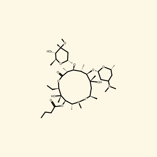 CCCC(=O)O[C@@H]1[C@@H](C)N(C)C[C@H](C)C[C@@](C)(O)[C@H](O[C@H]2CC(N(C)C)C[C@@H](C)O2)[C@@H](C)[C@H](O[C@H]2C[C@@](C)(OC)[C@@H](O)[C@H](C)O2)[C@@H](C)C(=O)O[C@H](CC)[C@@]1(C)O